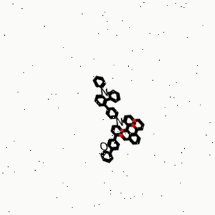 c1ccc(-c2cccc3cccc(-c4ccccc4N(c4ccc(-c5ccc6c(c5)oc5ccccc56)cc4)c4ccc(-c5cccc6c5c5ccccc5n6-c5ccccc5)cc4)c23)cc1